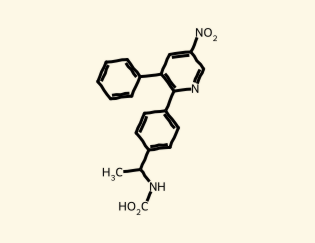 CC(NC(=O)O)c1ccc(-c2ncc([N+](=O)[O-])cc2-c2ccccc2)cc1